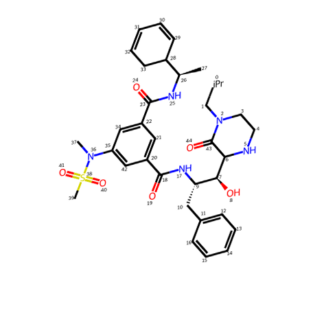 CC(C)CN1CCNC([C@@H](O)[C@H](Cc2ccccc2)NC(=O)c2cc(C(=O)N[C@H](C)C3C=CC=CC3)cc(N(C)S(C)(=O)=O)c2)C1=O